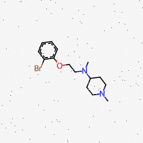 CN1CCC(N(C)CCOc2ccccc2Br)CC1